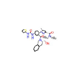 CCCCN(CCCC)C(=O)c1cc(C)n(-c2ccc(NC(=O)Nc3cccs3)cc2C(=O)N2Cc3ccccc3C[C@H]2CO)n1